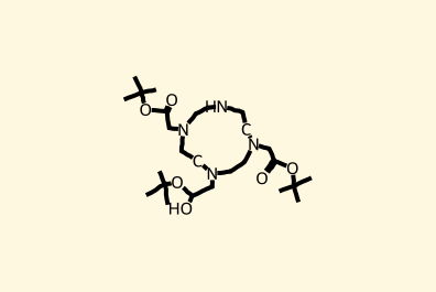 CC(C)(C)OC(=O)CN1CCNCCN(CC(=O)OC(C)(C)C)CCN(CC(O)OC(C)(C)C)CC1